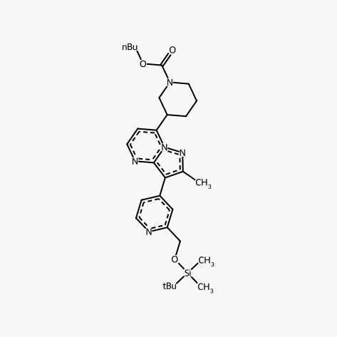 CCCCOC(=O)N1CCCC(c2ccnc3c(-c4ccnc(CO[Si](C)(C)C(C)(C)C)c4)c(C)nn23)C1